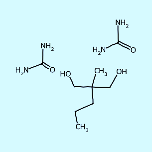 CCCC(C)(CO)CO.NC(N)=O.NC(N)=O